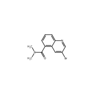 CN(C)C(=O)c1cccc2ncc(Br)cc12